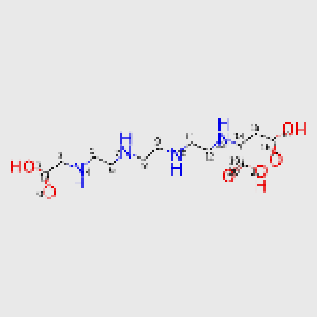 O=C(O)CNCCNCCNCCNC(CC(=O)O)C(=O)O